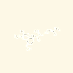 CN(Cc1cc(NC(=O)C(N)CCCNC(N)=O)ccc1CO)C(=O)O